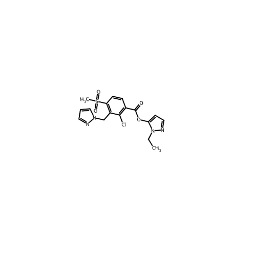 CCn1nccc1OC(=O)c1ccc(S(C)(=O)=O)c(Cn2cccn2)c1Cl